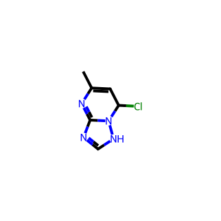 CC1=CC(Cl)N2NC=NC2=N1